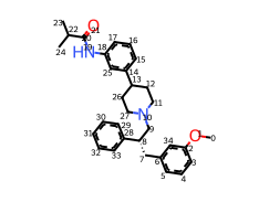 COc1cccc(C[C@@H](CN2CCC(c3cccc(NC(=O)C(C)C)c3)CC2)c2ccccc2)c1